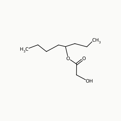 CCCCC(CCC)OC(=O)CO